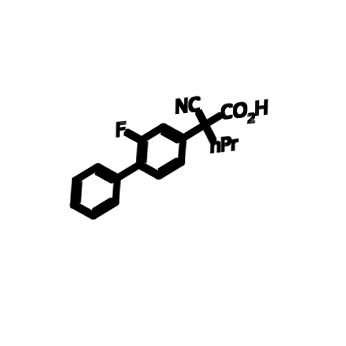 CCCC(C#N)(C(=O)O)c1ccc(-c2ccccc2)c(F)c1